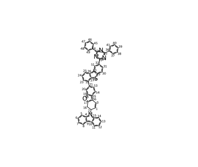 C1=CC(n2c3ccccc3c3ccccc32)Cc2oc3cc(-c4cccc5c4sc4ccc(-c6nc(-c7ccccc7)nc(-c7ccccc7)n6)cc45)ccc3c21